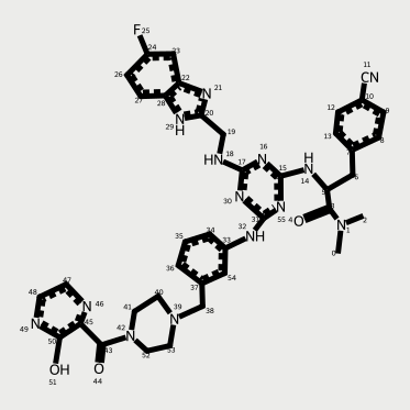 CN(C)C(=O)C(Cc1ccc(C#N)cc1)Nc1nc(NCc2nc3cc(F)ccc3[nH]2)nc(Nc2cccc(CN3CCN(C(=O)c4nccnc4O)CC3)c2)n1